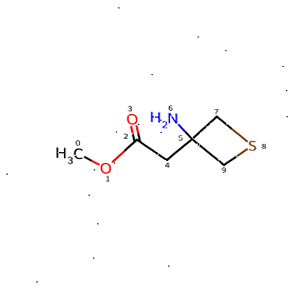 COC(=O)CC1(N)CSC1